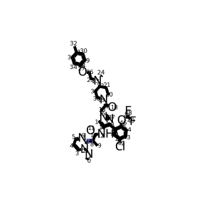 C=NN1C=CC=N/C1=C(/C)C(=O)Nc1cn(CC(=O)N2CCC(N(C)CCOc3ccc(C)cc3)CC2)nc1-c1cc(Cl)ccc1OC(F)F